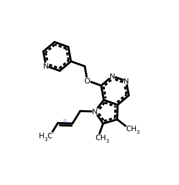 C/C=C/Cn1c(C)c(C)c2cnnc(OCc3cccnc3)c21